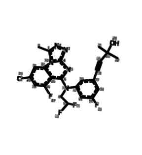 Cc1nnc2nc(N(CC(F)F)c3cc(F)cc(C#CC(C)(C)O)c3)c3c(F)cc(Cl)cc3n12